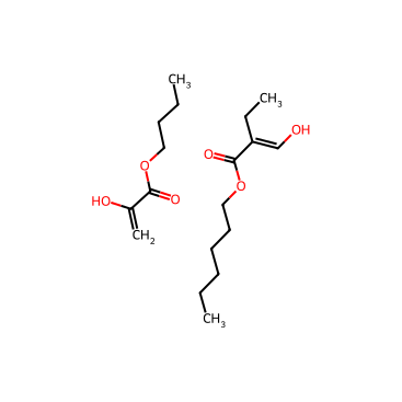 C=C(O)C(=O)OCCCC.CCCCCCOC(=O)C(=CO)CC